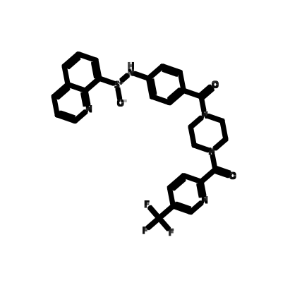 O=C(c1ccc(N[S+]([O-])c2cccc3cccnc23)cc1)N1CCN(C(=O)c2ccc(C(F)(F)F)cn2)CC1